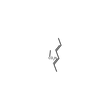 CC(=O)O.CC=CC=CC